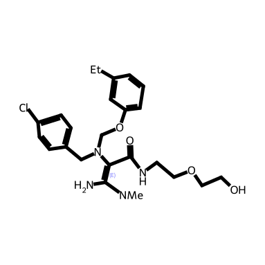 CCc1cccc(OCN(Cc2ccc(Cl)cc2)/C(C(=O)NCCOCCO)=C(\N)NC)c1